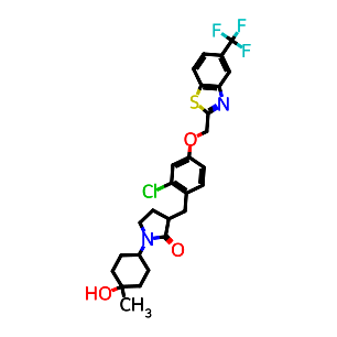 CC1(O)CCC(N2CCC(Cc3ccc(OCc4nc5cc(C(F)(F)F)ccc5s4)cc3Cl)C2=O)CC1